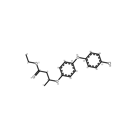 CCOC(=O)CC(C)Oc1ccc(Oc2ccc(Cl)cc2)cc1